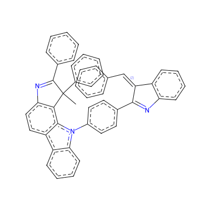 CC1(c2ccccc2)C(c2ccccc2)=Nc2ccc3c4ccccc4n(-c4ccc(C5=Nc6ccccc6/C5=C/c5ccccc5)cc4)c3c21